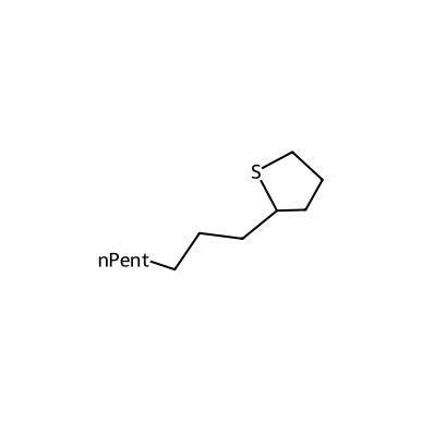 CCCCCCCCC1CCCS1